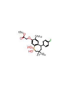 CCCCC1(CC)CC(c2ccc(F)cc2)c2cc(SC)c(OCC(=O)OC(C)(C)C)cc2S(O)(O)C1